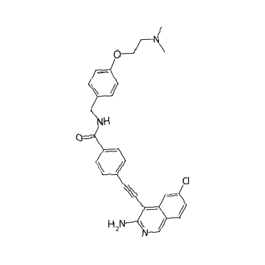 CN(C)CCOc1ccc(CNC(=O)c2ccc(C#Cc3c(N)ncc4ccc(Cl)cc34)cc2)cc1